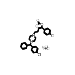 Cl.Cl.O=c1oc(CCN2CCN(C(c3ccccc3)c3ccc(Cl)cc3)CC2)c(-c2ccc(Cl)cc2)o1